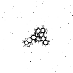 CC(C)c1c2ccccc2cc2c3nccc4ccc5c6ccc(CC7CCCC7)cc6n(c12)c5c43